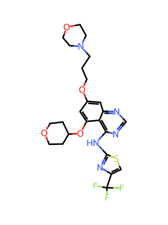 FC(F)(F)c1csc(Nc2ncnc3cc(OCCCN4CCOCC4)cc(OC4CCOCC4)c23)n1